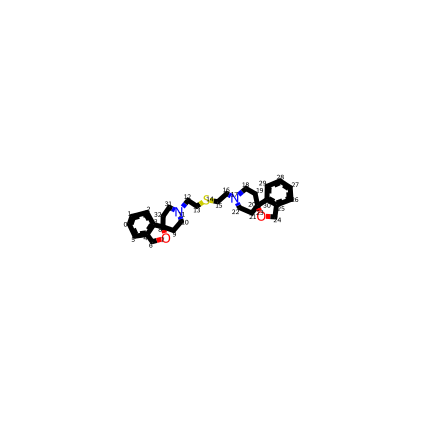 c1ccc2c(c1)COC21CCN(CCSCCN2CCC3(CC2)OCc2ccccc23)CC1